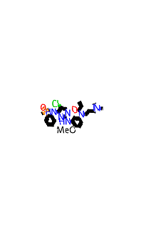 C=CC(=O)N(CCCN(C)C)c1ccc(OC)c(Nc2ncc(Cl)c(Nc3ccccc3P(C)(C)=O)n2)c1